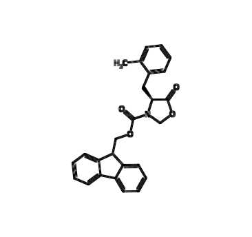 Cc1ccccc1C[C@H]1C(=O)OCN1C(=O)OCC1c2ccccc2-c2ccccc21